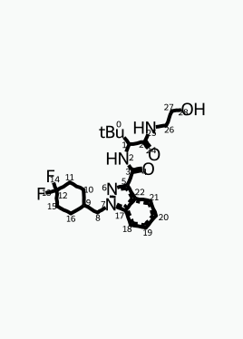 CC(C)(C)C(NC(=O)c1nn(CC2CCC(F)(F)CC2)c2ccccc12)C(=O)NCCO